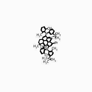 Cc1ccc([Si](C)(C)C)cc1N(c1c(C)cccc1C)c1cc(C(C)C)c2ccc3c(N(c4cccc([Si](C)(C)C)c4)c4c(C)cccc4C)cc4c5c(cc1c2c35)C(C)(C)CC4